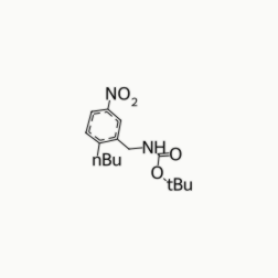 CCCCc1ccc([N+](=O)[O-])cc1CNC(=O)OC(C)(C)C